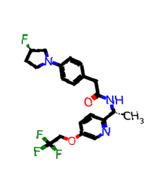 C[C@@H](NC(=O)Cc1ccc(N2CC[C@@H](F)C2)cc1)c1ccc(OCC(F)(F)F)cn1